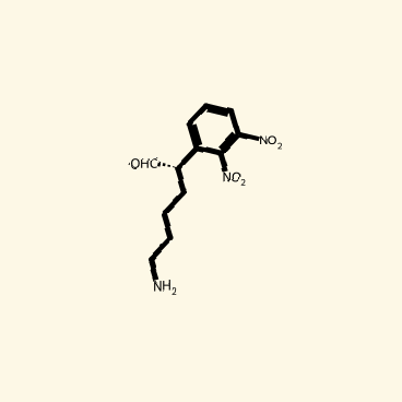 NCCCC[C@H]([C]=O)c1cccc([N+](=O)[O-])c1[N+](=O)[O-]